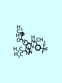 CC(C)c1nnc2nc(NC(C)c3cccc(C(F)(F)F)c3)c3c(n12)CN(C(=O)C12CC(C1)[C@@H]2C)C3